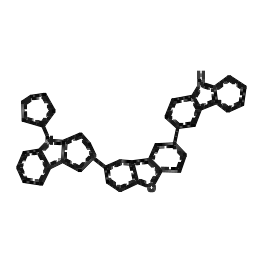 c1ccc(-n2c3ccccc3c3cc(-c4ccc5oc6ccc(-c7ccc8[nH]c9ccccc9c8c7)cc6c5c4)ccc32)cc1